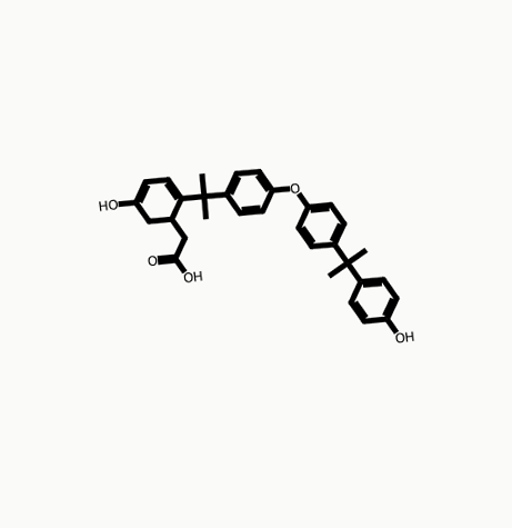 CC(C)(C1=CC=C(O)CC1CC(=O)O)c1ccc(Oc2ccc(C(C)(C)c3ccc(O)cc3)cc2)cc1